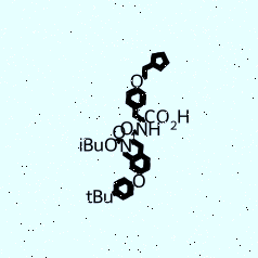 CC(C)COC(=O)N1Cc2cc(Oc3ccc(C(C)(C)C)cc3)ccc2C[C@H]1C(=O)NC(Cc1ccc(OCCC2CCCC2)cc1)C(=O)O